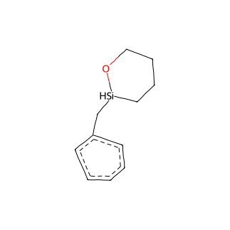 c1ccc(C[SiH]2CCCCO2)cc1